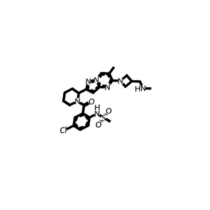 CNCC1CN(c2nc3cc(C4CCCCN4C(=O)c4cc(Cl)ccc4NS(C)(=O)=O)nn3cc2C)C1